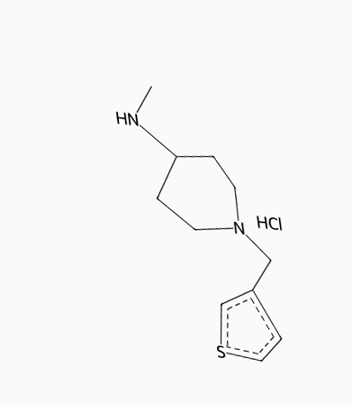 CNC1CCN(Cc2ccsc2)CC1.Cl